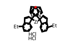 CCc1cccc2c1C=C[C]2([Zr][C]1(c2ccccn2)C=Cc2c(CC)cccc21)c1ccccn1.Cl.Cl